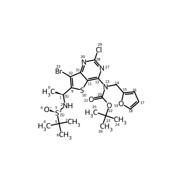 C[C@H](N[S@+]([O-])C(C)(C)C)c1sc2c(N(Cc3ccco3)C(=O)OC(C)(C)C)nc(Cl)nc2c1Br